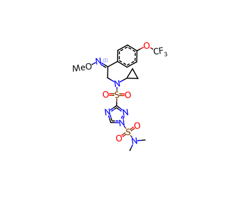 CO/N=C(\CN(C1CC1)S(=O)(=O)c1ncn(S(=O)(=O)N(C)C)n1)c1ccc(OC(F)(F)F)cc1